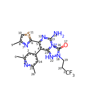 Cc1cc(-c2c(-c3nc(C)cs3)nc(N)[n+]3c(=O)n(CCC(F)(F)F)[nH]c23)cc(C)n1